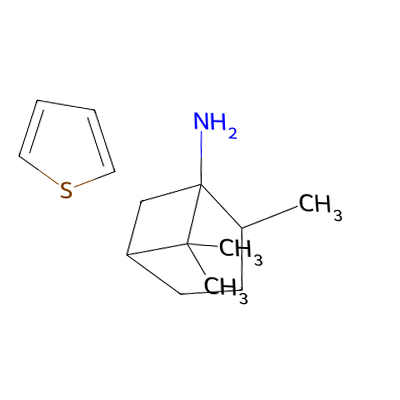 CC1CCC2CC1(N)C2(C)C.c1ccsc1